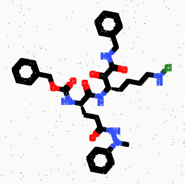 CN(NC(=O)CC[C@H](NC(=O)OCc1ccccc1)C(=O)N[C@@H](CCCCNCl)C(=O)C(=O)NCc1ccccc1)c1ccccc1